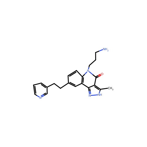 Cc1[nH]nc2c1c(=O)n(CCCN)c1ccc(CCc3cccnc3)cc21